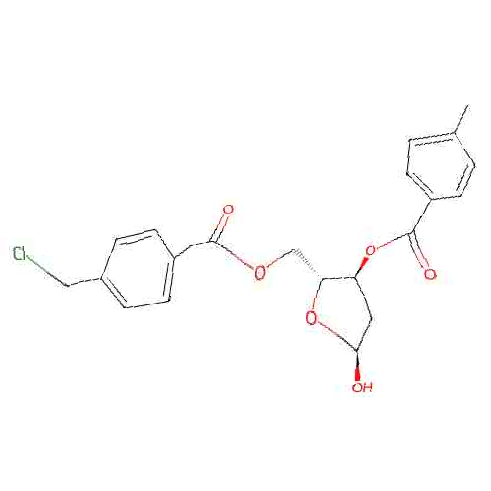 Cc1ccc(C(=O)O[C@H]2C[C@@H](O)O[C@@H]2COC(=O)c2ccc(CCl)cc2)cc1